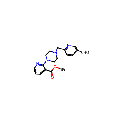 CC(C)OC(=O)c1cccnc1N1CCN(Cc2ccc(C=O)cn2)CC1